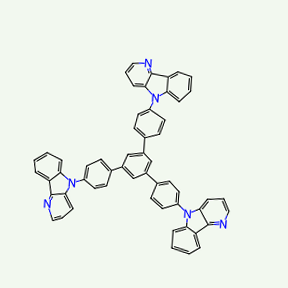 c1ccc2c(c1)c1ncccc1n2-c1ccc(-c2cc(-c3ccc(-n4c5ccccc5c5ncccc54)cc3)cc(-c3ccc(-n4c5ccccc5c5ncccc54)cc3)c2)cc1